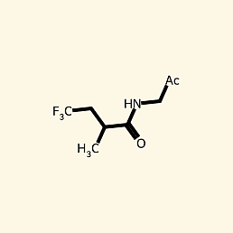 CC(=O)CNC(=O)C(C)CC(F)(F)F